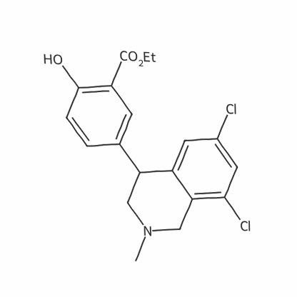 CCOC(=O)c1cc(C2CN(C)Cc3c(Cl)cc(Cl)cc32)ccc1O